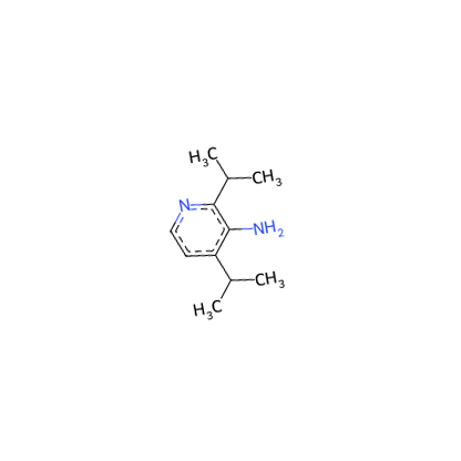 CC(C)c1ccnc(C(C)C)c1N